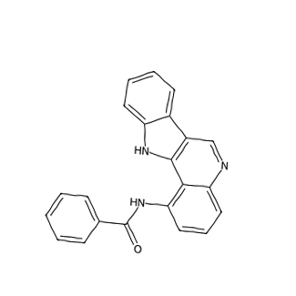 O=C(Nc1cccc2ncc3c4ccccc4[nH]c3c12)c1ccccc1